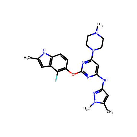 Cc1cc2c(F)c(Oc3nc(Nc4cc(C)n(C)n4)cc(N4CCN(C)CC4)n3)ccc2[nH]1